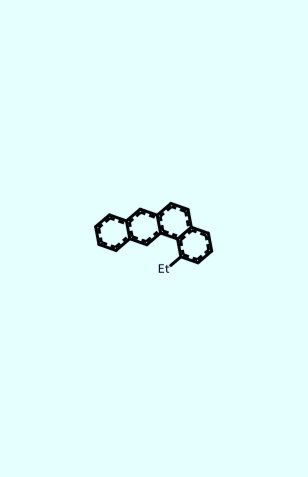 CCc1cccc2ccc3cc4ccccc4cc3c12